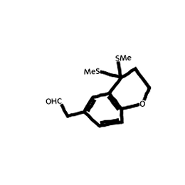 CSC1(SC)CCOc2ccc(CC=O)cc21